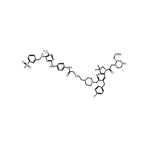 COC[C@H]1CN[C@H](C)CN1CC(=O)N1CC(C)(C)c2nc(CN3CCN(CCOCC(=O)Nc4ccc(Nc5ncc(C(F)(F)F)c(NCc6cccc(S(C)(=O)=O)c6)n5)cc4)CC3)c(Cc3ccc(F)cc3)cc21